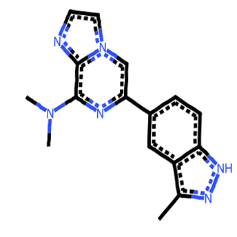 Cc1n[nH]c2ccc(-c3cn4ccnc4c(N(C)C)n3)cc12